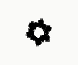 CC1c2cccc(c2)N(c2ccccc2)c2cccc(c2)N(c2ccccc2)c2cccc(c2)N(c2ccccc2)c2cccc(c2)N(c2ccccc2)c2cccc(c2)N(c2ccccc2)c2cccc(c2)C1Cc1ccccc1